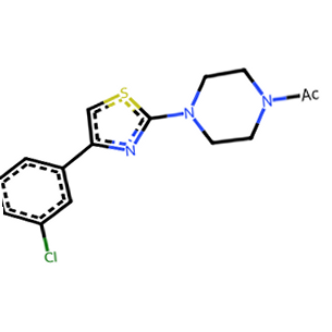 CC(=O)N1CCN(c2nc(-c3cccc(Cl)c3)cs2)CC1